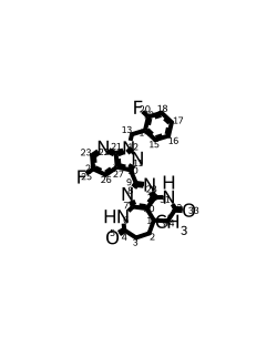 C[C@]12CCC(=O)Nc3nc(-c4nn(Cc5ccccc5F)c5ncc(F)cc45)nc(c31)NC(=O)C2